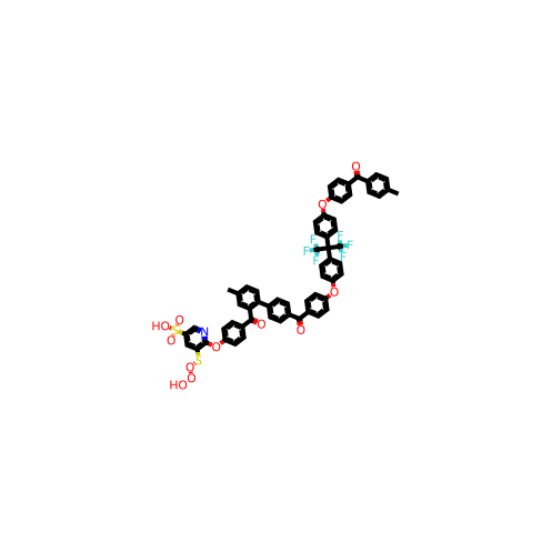 Cc1ccc(C(=O)c2ccc(Oc3ccc(C(c4ccc(Oc5ccc(C(=O)c6ccc(-c7ccc(C)cc7C(=O)c7ccc(Oc8ncc(S(=O)(=O)O)cc8SOOO)cc7)cc6)cc5)cc4)(C(F)(F)F)C(F)(F)F)cc3)cc2)cc1